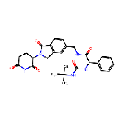 CC(C)(C)NC(=O)NC(C(=O)NCc1ccc2c(c1)CN(C1CCC(=O)NC1=O)C2=O)c1ccccc1